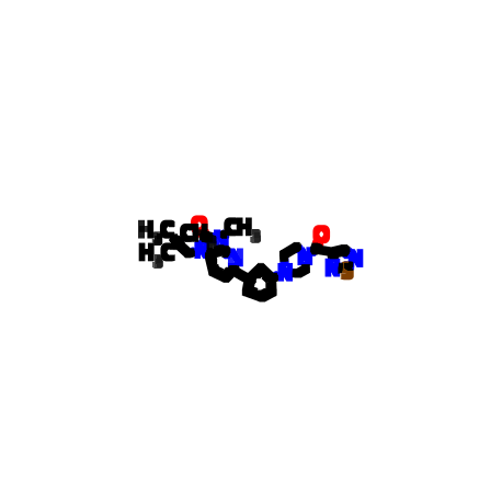 Cn1c(=O)n(CC(C)(C)C)c2ccc(-c3cccc(N4CCN(C(=O)c5cnsn5)CC4)c3)nc21